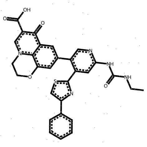 CCNC(=O)Nc1cc(-c2nc(-c3ccccc3)cs2)c(-c2cc3c4c(c2)c(=O)c(C(=O)O)cn4CCO3)cn1